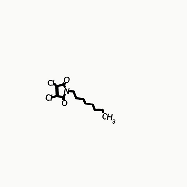 CCCCCCCCN1C(=O)C(Cl)=C(Cl)C1=O